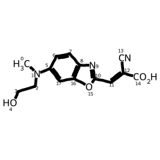 CN(CCO)c1ccc2nc(/C=C(\C#N)C(=O)O)oc2c1